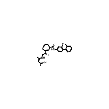 CC(=N)/C=C(/C)NCC(=O)C1=CC(C(=O)Nc2ccc(-c3ccccc3C)c(Cl)c2)CC=CC1